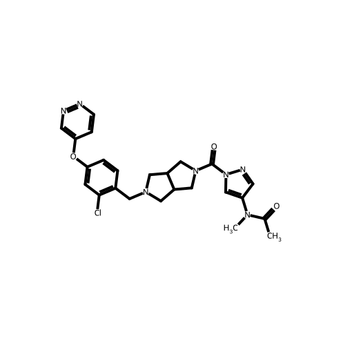 CC(=O)N(C)c1cnn(C(=O)N2CC3CN(Cc4ccc(Oc5ccnnc5)cc4Cl)CC3C2)c1